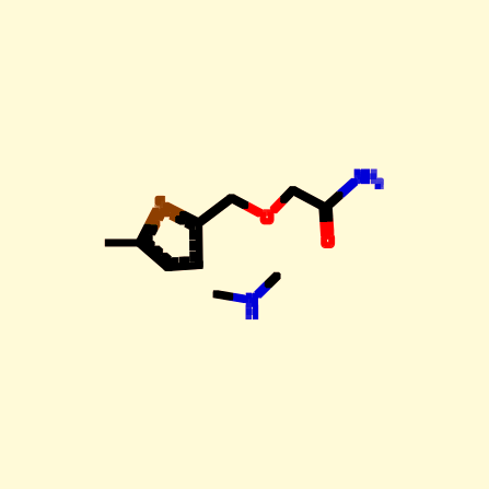 CNC.Cc1ccc(COCC(N)=O)s1